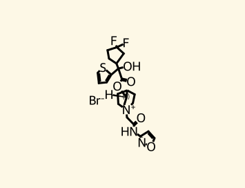 O=C(C[N+]12CCC(CC1)[C@@H](OC(=O)C(O)(c1cccs1)C1CCC(F)(F)C1)C2)Nc1ccon1.[Br-]